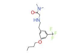 CCCCOc1cc(CCNCC(=O)N(C)C)cc(C(F)(F)F)c1